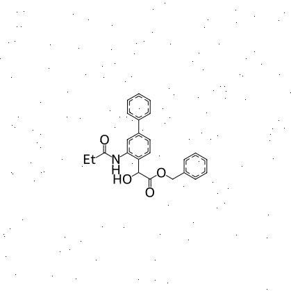 CCC(=O)Nc1cc(-c2ccccc2)ccc1C(O)C(=O)OCc1ccccc1